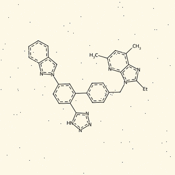 CCc1nc2c(C)cc(C)nc2n1Cc1ccc(-c2cc(-n3cc4ccccc4n3)ccc2-c2nnn[nH]2)cc1